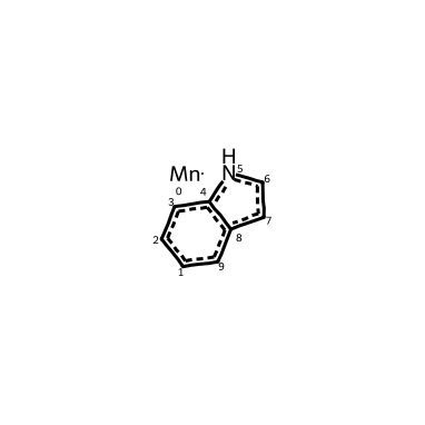 [Mn].c1ccc2[nH]ccc2c1